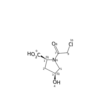 O=C(O)[C@@H]1C[C@H](O)CN1C(=O)CCl